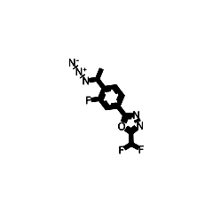 CC(N=[N+]=[N-])c1ccc(-c2nnc(C(F)F)o2)cc1F